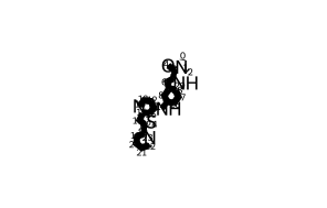 CN(C)C(=O)c1cc2cc(Nc3ccnc4cc(-c5ccccn5)sc34)ccc2[nH]1